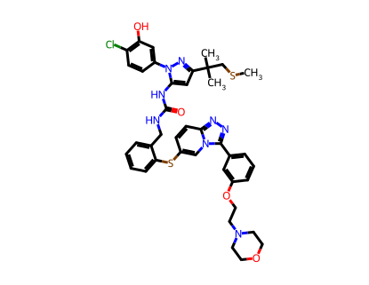 CSCC(C)(C)c1cc(NC(=O)NCc2ccccc2Sc2ccc3nnc(-c4cccc(OCCN5CCOCC5)c4)n3c2)n(-c2ccc(Cl)c(O)c2)n1